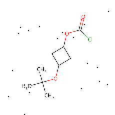 CC(C)(C)OC1CC(OC(=O)Cl)C1